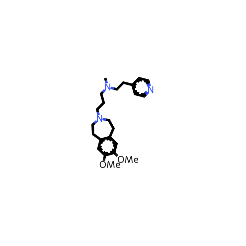 COc1cc2c(cc1OC)CCN(CCCN(C)CCc1ccncc1)CC2